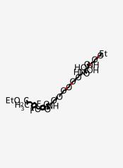 CCOCCOCCNC(=O)[C@H](O)[C@@H](O)C(=O)NCCOCCOCCOCCOCCOCCOCCNS(=O)(=O)c1ccc(Oc2c(F)cc(/C=C(\C)C(=O)OCC)cc2F)cc1